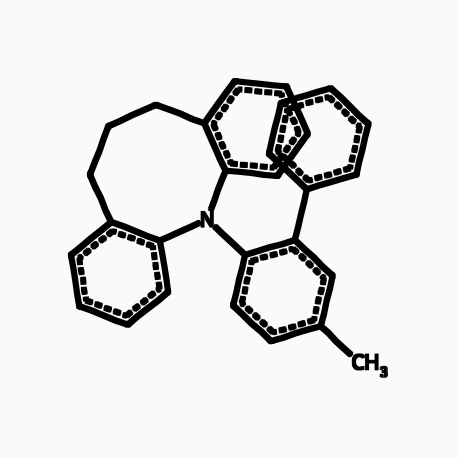 Cc1ccc(N2c3ccccc3CCCc3ccccc32)c(-c2ccccc2)c1